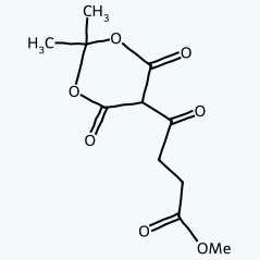 COC(=O)CCC(=O)C1C(=O)OC(C)(C)OC1=O